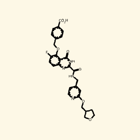 O=C(O)c1ccc(COc2c(F)ccc3nc(C(=O)NCc4ccnc(OCC5CCOC5)c4)[nH]c(=O)c23)cc1